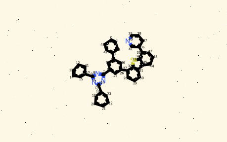 c1ccc(-c2cc(-c3nc(-c4ccccc4)nc(-c4ccccc4)n3)cc(-c3cccc4c3sc3c(-c5cccnc5)cccc34)c2)cc1